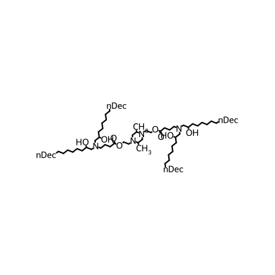 CCCCCCCCCCCCCCCCC(O)CN(CCCC(=O)OCCN1CC(C)N(CCOC(=O)CCCN(CC(O)CCCCCCCCCCCCCCCC)CC(O)CCCCCCCCCCCCCCCC)CC1C)CC(O)CCCCCCCCCCCCCCCC